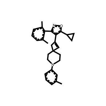 Cc1cccc(N2CCC3(C=C(c4c(-c5c(C)cccc5C)noc4C4CC4)C3)CC2)c1